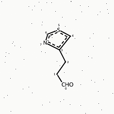 O=CCCc1cscn1